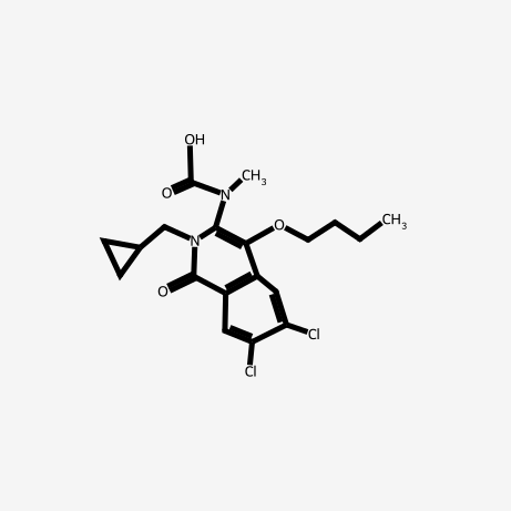 CCCCOc1c(N(C)C(=O)O)n(CC2CC2)c(=O)c2cc(Cl)c(Cl)cc12